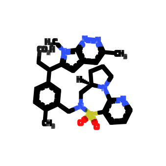 Cc1cc2cc(C(CC(=O)O)c3ccc(C)c(CN4C[C@H]5CCCN5c5ncccc5S4(=O)=O)c3)n(C)c2nn1